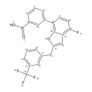 O=C(O)c1cccc(-c2ccc(F)c3cc(Cc4cccc(C(F)(F)F)c4)oc23)c1